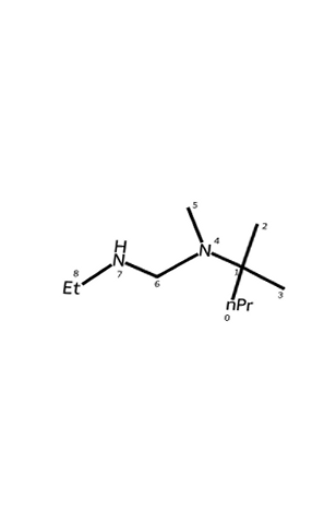 CCCC(C)(C)N(C)CNCC